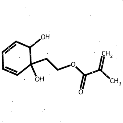 C=C(C)C(=O)OCCC1(O)C=CC=CC1O